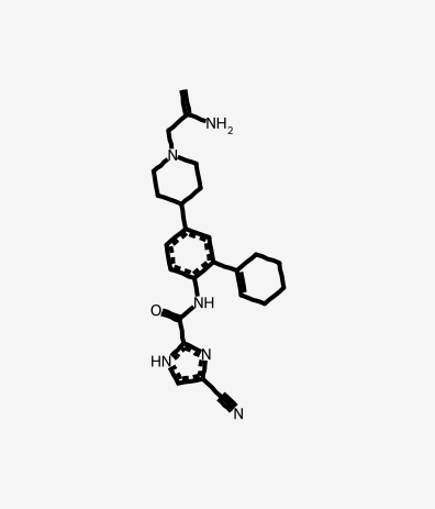 C=C(N)CN1CCC(c2ccc(NC(=O)c3nc(C#N)c[nH]3)c(C3=CCCCC3)c2)CC1